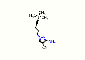 C[Si](C)(C)C#CCCCn1cc(C#N)c(N)n1